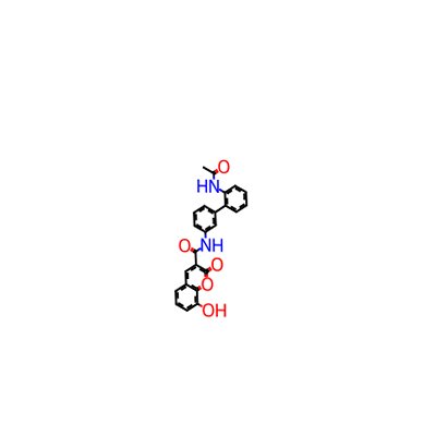 CC(=O)Nc1ccccc1-c1cccc(NC(=O)c2cc3cccc(O)c3oc2=O)c1